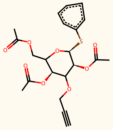 C#CCOC1[C@@H](OC(C)=O)C(COC(C)=O)O[C@@H](Sc2ccccc2)[C@H]1OC(C)=O